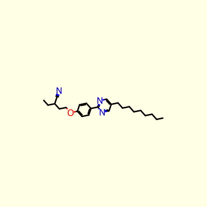 CCCCCCCCCc1cnc(-c2ccc(OCCC(C#N)CC)cc2)nc1